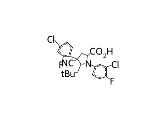 CC(C)(C)CC1N(c2ccc(F)c(Cl)c2)C(C(=O)O)CC1(C#N)c1ccc(Cl)cc1F